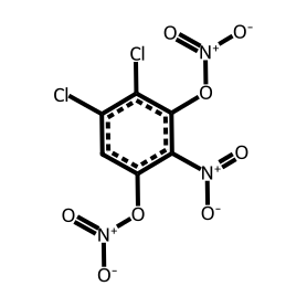 O=[N+]([O-])Oc1cc(Cl)c(Cl)c(O[N+](=O)[O-])c1[N+](=O)[O-]